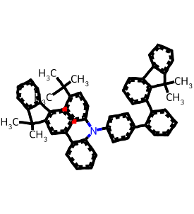 CC(C)(C)c1ccc(N(c2ccc(-c3ccccc3-c3cccc4c3C(C)(C)c3ccccc3-4)cc2)c2ccccc2-c2ccc3c(c2)C(C)(C)c2ccccc2-3)cc1